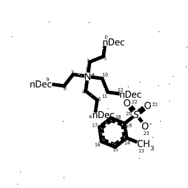 CCCCCCCCCCCC[N+](CCCCCCCCCCCC)(CCCCCCCCCCCC)CCCCCCCCCCCC.Cc1ccccc1S(=O)(=O)[O-]